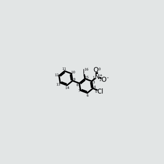 O=[N+]([O-])c1c(Cl)ccc(-c2ccccc2)c1I